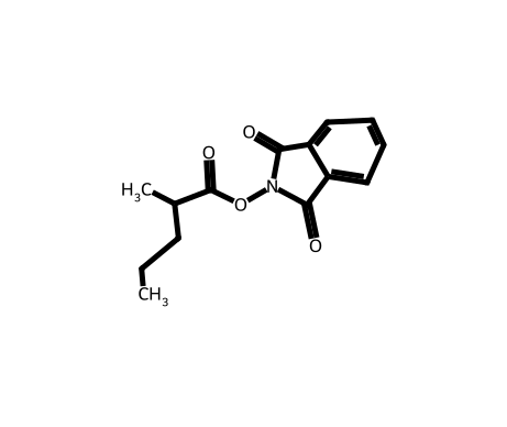 CCCC(C)C(=O)ON1C(=O)c2ccccc2C1=O